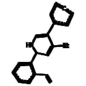 C=Cc1ccccc1C1C=C(CC)C(c2ccccc2)=CN1